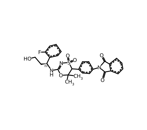 CC1(C)OC(N[C@@H](CCO)c2ccccc2F)=NS(=O)(=O)C1c1ccc(N2C(=O)c3ccccc3C2=O)cc1